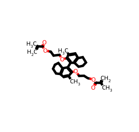 C=C(C)C(=O)OCCCOc1c(C)cc2c(c1-c1c3c(cc(C)c1OCCCOC(=O)C(=C)C)CCCC3)CCCC2